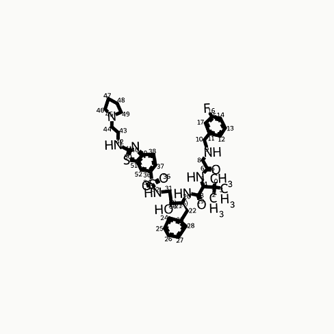 CC(C)(C)C(NC(=O)CNCc1cccc(F)c1)C(=O)N[C@@H](Cc1ccccc1)[C@H](O)CNS(=O)(=O)c1ccc2nc(NCCN3CCCC3)sc2c1